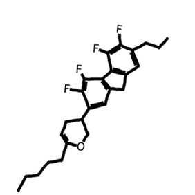 CCCCCC1=CCC(c2cc3c(c(F)c2F)-c2c(cc(CCC)c(F)c2F)C3)CO1